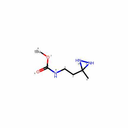 CC1(CCNC(=O)OC(C)(C)C)NN1